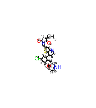 Cc1cc(Cl)cc(-c2ccnc3cc(CN4C(=O)CC(C)C4=O)sc23)c1CC1CNCCCO1